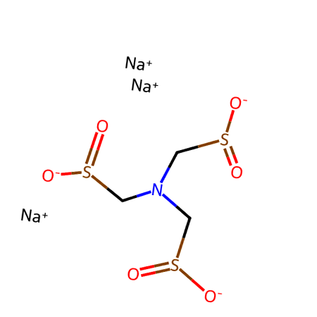 O=S([O-])CN(CS(=O)[O-])CS(=O)[O-].[Na+].[Na+].[Na+]